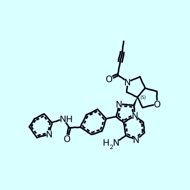 CC#CC(=O)N1CC2COC[C@]2(c2nc(-c3ccc(C(=O)Nc4ccccn4)cc3)c3c(N)nccn23)C1